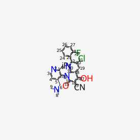 CC(C)c1nccc(CN(C)C)c1-n1c(=O)c(C#N)c(O)c2cc(Cl)c(-c3ccccc3F)nc21